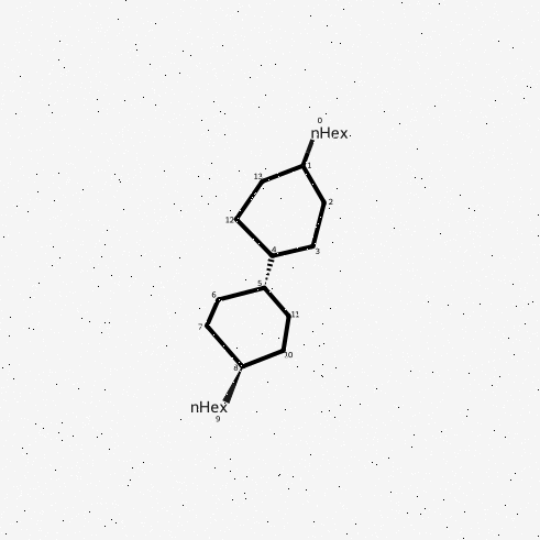 CCCCCCC1CCC([C@H]2CC[C@H](CCCCCC)CC2)CC1